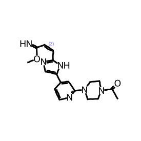 COC(=N)/C=C\c1ncc(-c2ccnc(N3CCN(C(C)=O)CC3)c2)[nH]1